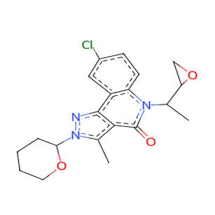 Cc1c2c(=O)n(C(C)C3CO3)c3ccc(Cl)cc3c2nn1C1CCCCO1